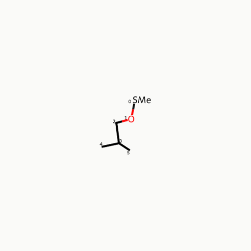 CSOCC(C)C